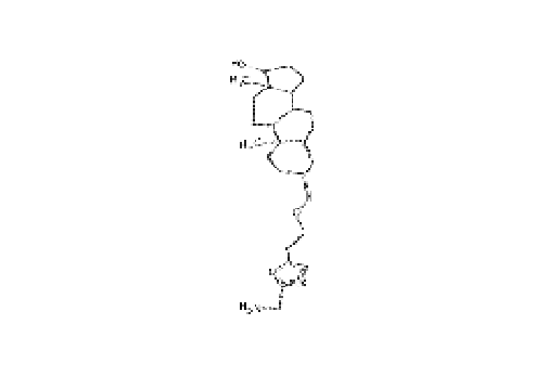 CC12CCC(=NOCCc3cnc(CN)o3)C=C1CCC1C2CCC2(C)C(O)CCC12